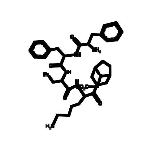 CC(C)CC(NC(=O)C(Cc1ccccc1)NC(=O)C(N)Cc1ccccc1)C(=O)NC(CCCCN)C(=O)N1CC2CCC(C1)N2CC(=O)O